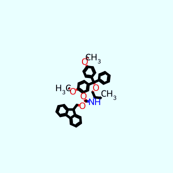 CCC(COC(c1ccccc1)(c1ccc(OC)cc1)c1ccc(OC)cc1)NC(=O)OCC1c2ccccc2-c2ccccc21